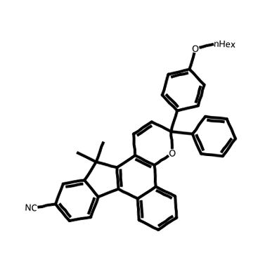 CCCCCCOc1ccc(C2(c3ccccc3)C=Cc3c4c(c5ccccc5c3O2)-c2ccc(C#N)cc2C4(C)C)cc1